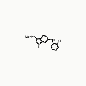 CNCc1c[nH]c2cc(Nc3ccccc3Cl)ccc12